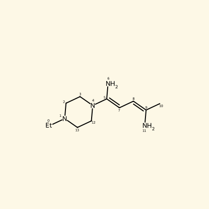 CCN1CCN(/C(N)=C/C=C(/C)N)CC1